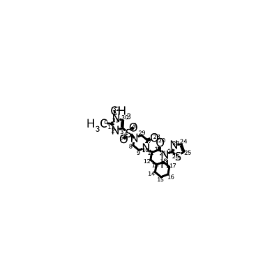 Cc1nc(S(=O)(=O)N2CCN(C(CC3CCCCC3)C(=O)Nc3nccs3)C(=O)C2)cn1C